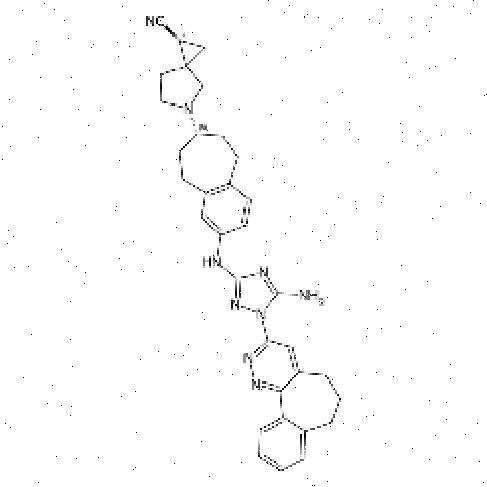 N#C[C@H]1CC12CCN([C@@H]1CCc3ccc(Nc4nc(N)n(-c5cc6c(nn5)-c5ccccc5CCC6)n4)cc3CC1)C2